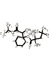 CCC(C)(C)CC(C)(C(=O)OC1(C(C)C(=O)OC(C(F)(F)F)C(F)(F)F)CCCCC1)C(C)C